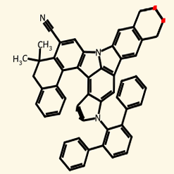 CC1(C)Cc2ccccc2-c2c1c(C#N)cc1c2c2c3c4ccccc4n(-c4c(-c5ccccc5)cccc4-c4ccccc4)c3cc3c4cc5c(cc4n1c32)C1CCC5CC1